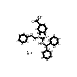 O=C([O-])c1ccc2nc(NC(c3ccccc3)c3ccccc3)n(CCc3ccccc3)c2c1.[Na+]